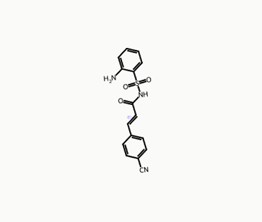 N#Cc1ccc(/C=C/C(=O)NS(=O)(=O)c2ccccc2N)cc1